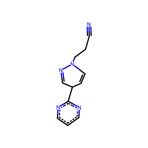 N#CCCN1C=CC(c2ncccn2)C=N1